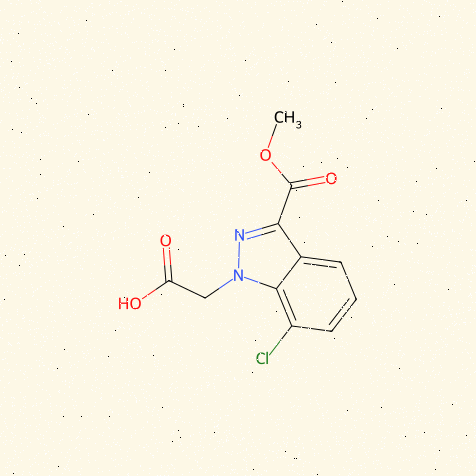 COC(=O)c1nn(CC(=O)O)c2c(Cl)cccc12